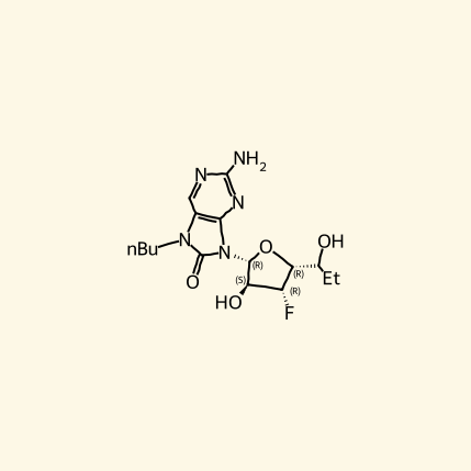 CCCCn1c(=O)n([C@@H]2O[C@H](C(O)CC)[C@H](F)[C@H]2O)c2nc(N)ncc21